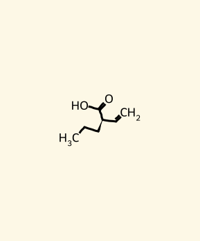 C=C[C@@H](CCC)C(=O)O